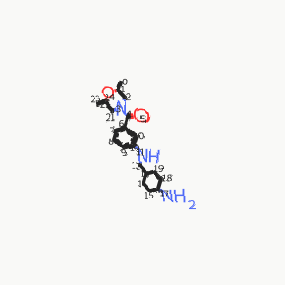 CC1CN(C(=O)c2cccc(NCC3CCC(N)CC3)c2)CC(C)O1